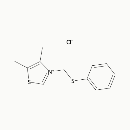 Cc1sc[n+](CSc2ccccc2)c1C.[Cl-]